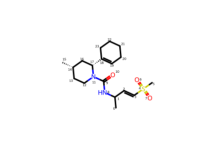 CC(/C=C/S(C)(=O)=O)NC(=O)N1CC[C@H](C)C[C@@H]1C1=CCCCC1